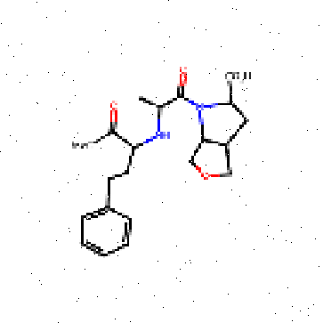 COC(=O)C(CCc1ccccc1)N[C@@H](C)C(=O)N1C(C(=O)O)CC2COCC21